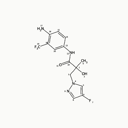 CC(O)(Cn1cc(F)cn1)C(=O)Nc1ccc(N)c(C(F)(F)F)c1